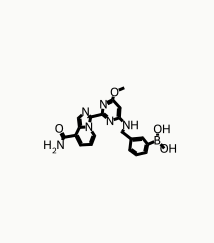 COc1cc(NCc2cccc(B(O)O)c2)nc(-c2ncc3c(C(N)=O)cccn23)n1